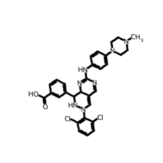 CN1CCN(c2ccc(NC3=NC4C(=CN(c5c(Cl)cccc5Cl)NC4c4cccc(C(=O)O)c4)C=N3)cc2)CC1